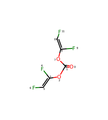 O=C(OC(F)=CF)OC(F)=CF